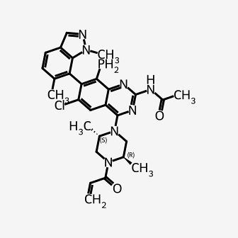 C=CC(=O)N1C[C@H](C)N(c2nc(NC(C)=O)nc3c(P)c(-c4c(C)ccc5cnn(C)c45)c(Cl)cc23)C[C@H]1C